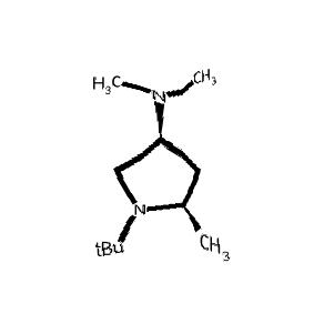 C[C@@H]1C[C@H](N(C)C)CN1C(C)(C)C